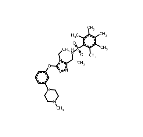 CCn1c(Oc2cccc(N3CCN(C)CC3)c2)nnc1[C@@H](C)NS(=O)(=O)c1c(C)c(C)c(C)c(C)c1C